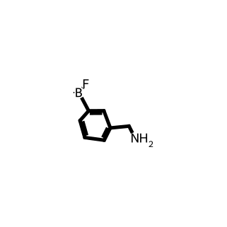 NCc1cccc([B]F)c1